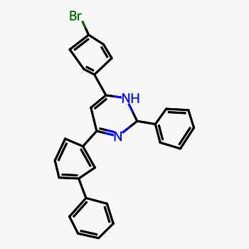 Brc1ccc(C2=CC(c3cccc(-c4ccccc4)c3)=NC(c3ccccc3)N2)cc1